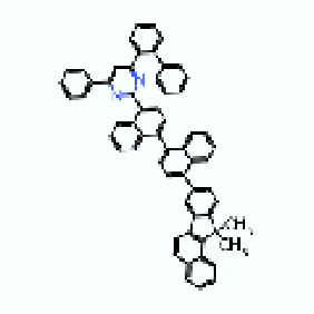 CC1(C)c2ccc(-c3ccc(-c4ccc(-c5nc(-c6ccccc6)cc(-c6ccccc6-c6ccccc6)n5)c5ccccc45)c4ccccc34)cc2-c2ccc3ccccc3c21